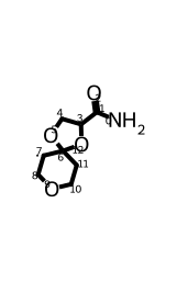 NC(=O)C1COC2([CH]COCC2)O1